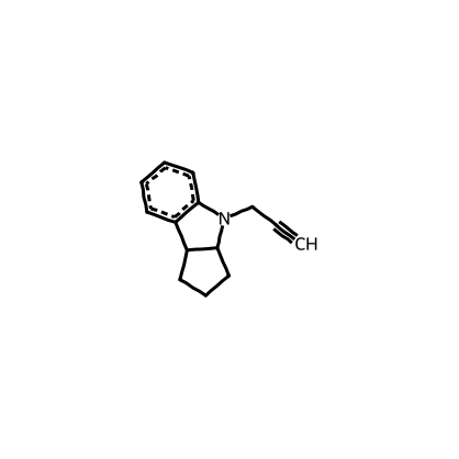 C#CCN1c2ccccc2C2CCCC21